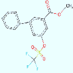 COC(=O)c1cc(OS(=O)(=O)C(F)(F)F)cc(-c2ccccc2)c1